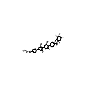 CCCCCc1ccc(-c2cc(F)c(-c3cc(F)c(-c4ccc(C(F)(F)Oc5cc(F)c(F)c(F)c5)cc4)c(F)c3)c(F)c2)cc1